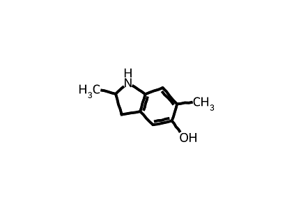 Cc1cc2c(cc1O)CC(C)N2